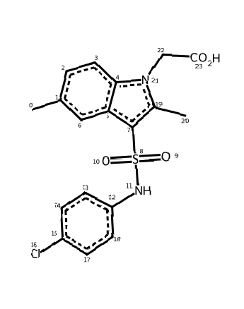 Cc1ccc2c(c1)c(S(=O)(=O)Nc1ccc(Cl)cc1)c(C)n2CC(=O)O